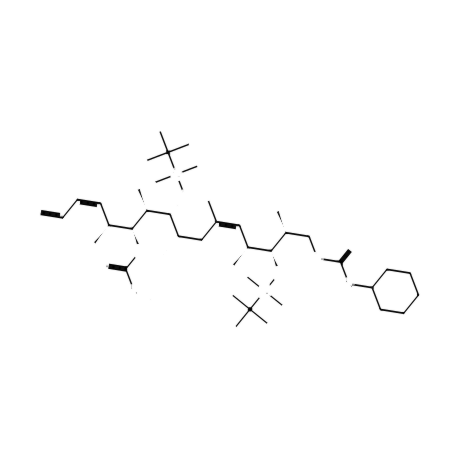 C=C/C=C\[C@H](C)[C@H](OC(N)=O)[C@@H](C)[C@H](O[Si](C)(C)C(C)(C)C)[C@@H](C)C/C(C)=C\[C@H](C)[C@H](O[Si](C)(C)C(C)(C)C)[C@@H](C)COC(=O)NC1CCCCC1